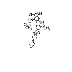 COc1cc(S(=O)(=O)N2CCC(N3CCOCC3)CC2)ccc1Nc1nc(NCCS(C)(=O)=O)c2c(Cl)c[nH]c2n1